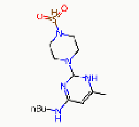 CCCCNC1=NC(N2CCN([SH](=O)=O)CC2)NC(C)=C1